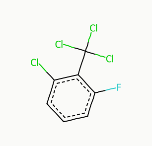 Fc1cccc(Cl)c1C(Cl)(Cl)Cl